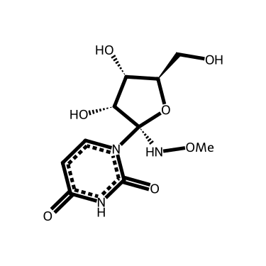 CON[C@@]1(n2ccc(=O)[nH]c2=O)O[C@H](CO)[C@@H](O)[C@H]1O